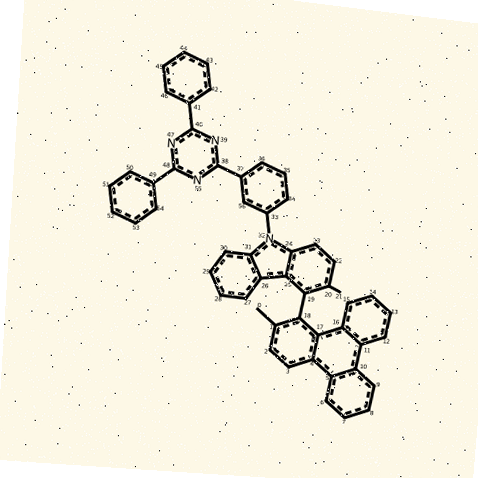 Cc1ccc2c3ccccc3c3ccccc3c2c1-c1c(C)ccc2c1c1ccccc1n2-c1cccc(-c2nc(-c3ccccc3)nc(-c3ccccc3)n2)c1